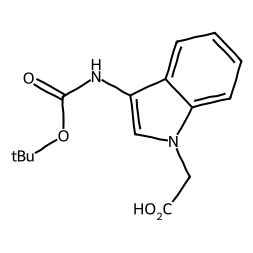 CC(C)(C)OC(=O)Nc1cn(CC(=O)O)c2ccccc12